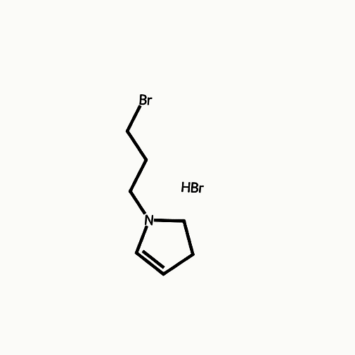 Br.BrCCCN1C=CCC1